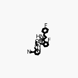 N#Cc1cccnc1C[C@H](CO)NC(=O)c1cccc(F)c1-c1cc(-c2ccc(F)cc2)[nH]n1